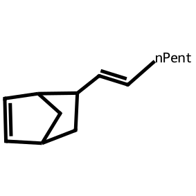 CCCCC/C=C/C1CC2C=CC1C2